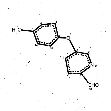 Cc1ccc(Oc2ccc(C=O)nc2)cc1